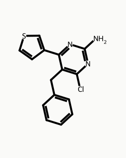 Nc1nc(Cl)c(Cc2ccccc2)c(-c2ccsc2)n1